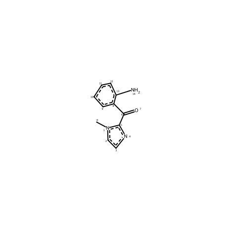 Cn1ccnc1C(=O)c1ccccc1N